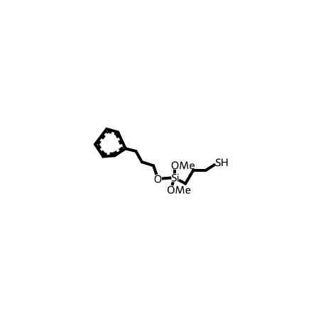 CO[Si](CCCS)(OC)OCCCc1ccccc1